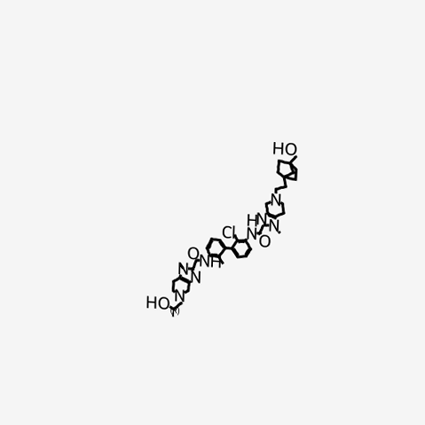 Cc1c(NC(=O)c2nc3c(n2C)CCN(C[C@@H](C)O)C3)cccc1-c1cccc(NC(=O)c2nc3c(n2C)CCN(CCC24CCC(CO)(CC2)C4)C3)c1Cl